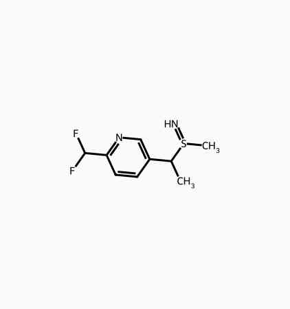 CC(c1ccc(C(F)F)nc1)S(C)=N